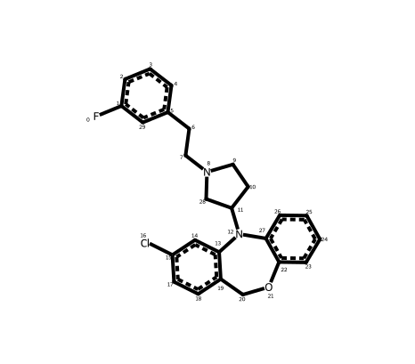 Fc1cccc(CCN2CCC(N3c4cc(Cl)ccc4COc4ccccc43)C2)c1